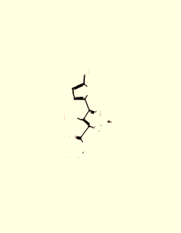 COC(=O)C1=C(C)C(c2ccc(Br)s2)=N[S+]([O-])N1